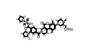 COC[C@H]1CN(c2cc(C)c3c4c(c(=O)oc3c2C)CN(C(=O)c2ccc(C(=O)NS(=O)(=O)N3CCCC3)c(N3CCC[C@H]3C)c2)CC4)CCN1C